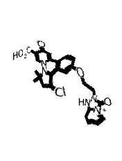 CC1(C)CC(Cl)C2c3cc(OCCn4[nH]c5cccc[n+]5c4=O)ccc3-c3cc(=O)c(C(=O)O)cn3N21